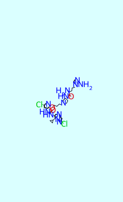 Nc1nccn1CCC[C@H](N)C(=O)N[C@@H]1CCN(CCCCOc2ncc(Cl)cc2NC(=O)Nc2cnc3cc(Cl)nn3c2C2CC2)C1